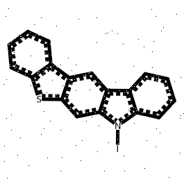 In1c2ccccc2c2cc3c(cc21)sc1ccccc13